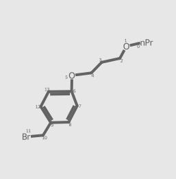 CCCOCCCOc1ccc(CBr)cc1